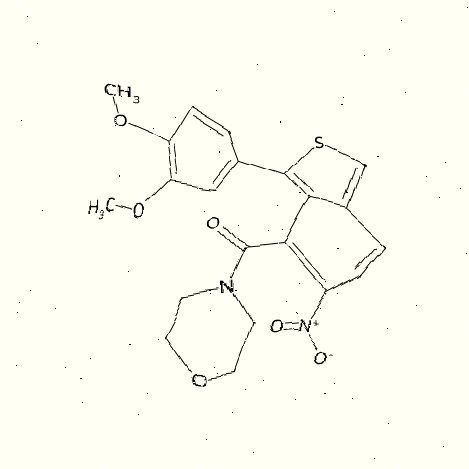 COc1ccc(-c2scc3ccc([N+](=O)[O-])c(C(=O)N4CCOCC4)c23)cc1OC